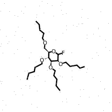 CCCCCOC[C@H]1OC(F)[C@@H](OCCCCC)[C@@H](OCCCCC)[C@@H]1OCCCCC